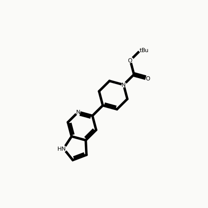 CC(C)(C)OC(=O)N1CC=C(c2cc3cc[nH]c3cn2)CC1